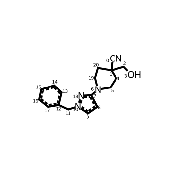 N#CC1(CO)CCN(c2ccn(Cc3ccccc3)n2)CC1